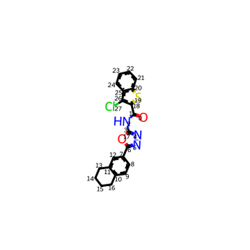 O=C(Nc1nnc(-c2ccc3c(c2)CCCC3)o1)c1sc2ccccc2c1Cl